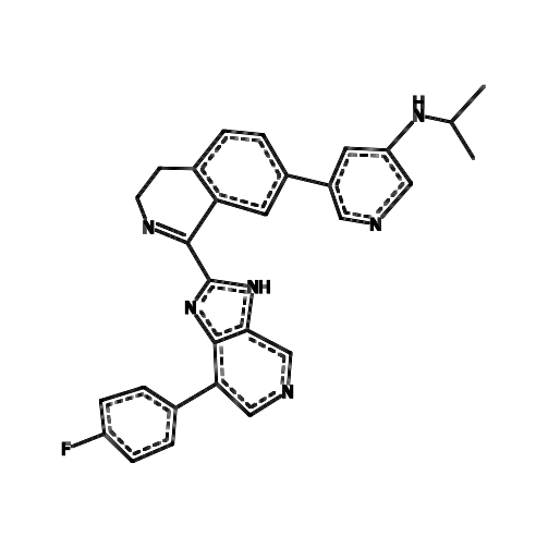 CC(C)Nc1cncc(-c2ccc3c(c2)C(c2nc4c(-c5ccc(F)cc5)cncc4[nH]2)=NCC3)c1